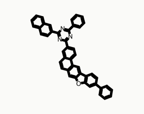 c1ccc(-c2ccc3c(c2)oc2cc4ccc5cc(-c6nc(-c7ccccc7)nc(-c7ccc8ccccc8c7)n6)ccc5c4cc23)cc1